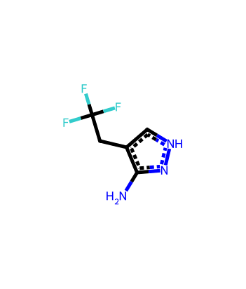 Nc1n[nH]cc1CC(F)(F)F